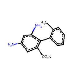 Cc1ccccc1-c1c(N)cc(N)cc1C(=O)O